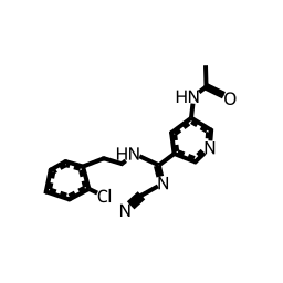 CC(=O)Nc1cncc(C(=NC#N)NCCc2ccccc2Cl)c1